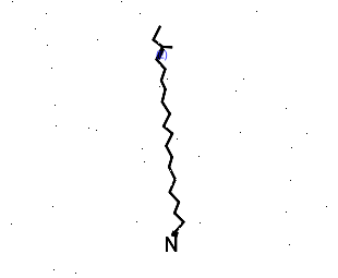 CC/C(C)=C/CCCCCCCCCCCCCCCC#N